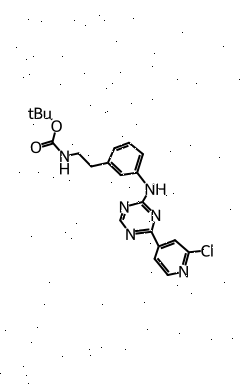 CC(C)(C)OC(=O)NCCc1cccc(Nc2ncnc(-c3ccnc(Cl)c3)n2)c1